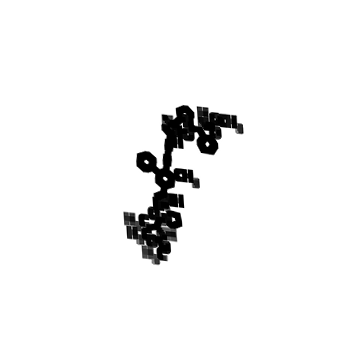 COC(=O)N[C@H](C(=O)N1CCC[C@H]1c1ncc(-c2cc(C)c(C#CC#Cc3cnc(C4CCCN4C(=O)[C@H](NC(=O)OC)c4ccccc4)[nH]3)c(-c3ccccc3)c2)[nH]1)C(C)C